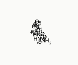 NC(=O)[C@H](NC1CCC1)C(=O)Nc1ccc(N2CCOCC2=O)cc1C(F)F